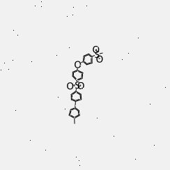 Cc1ccc(-c2ccc(S(=O)(=O)c3ccc(Oc4ccc(S(C)(=O)=O)cc4)cc3)cc2)cc1